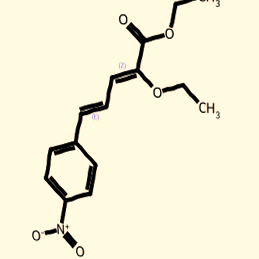 CCOC(=O)/C(=C/C=C/c1ccc([N+](=O)[O-])cc1)OCC